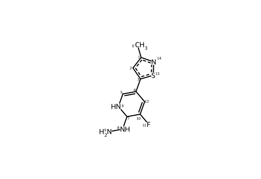 Cc1cc(C2=CNC(NN)C(F)=C2)sn1